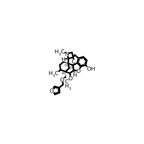 COC1[C@@H]2Oc3c(O)ccc4c3[C@@]23CC2(C4)CN(C)[C@H]2[C@]32CCC(C)[C@@]1(COCc1ccoc1)C2